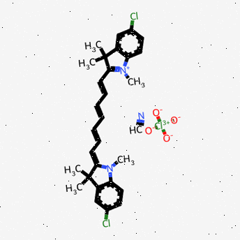 C#N.CN1C(=CC=CC=CC=CC2=[N+](C)c3ccc(Cl)cc3C2(C)C)C(C)(C)c2cc(Cl)ccc21.[O-][Cl+3]([O-])([O-])[O-]